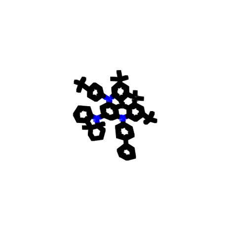 CC(C)(C)c1ccc(N2c3cc(N4c5ccccc5C5(C)CCCCC45C)cc4c3B3c5c(cc(C(C)(C)C)cc5[Si](C)(C)c5cc(C(C)(C)C)cc2c53)N4c2ccc(-c3ccccc3)cc2)cc1